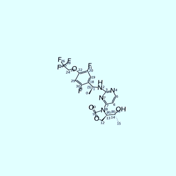 C[C@H](Nc1nccc(N2C(=O)OC[C@@H]2[C@@H](C)O)n1)c1cc(F)c(OCC(F)(F)F)cc1F